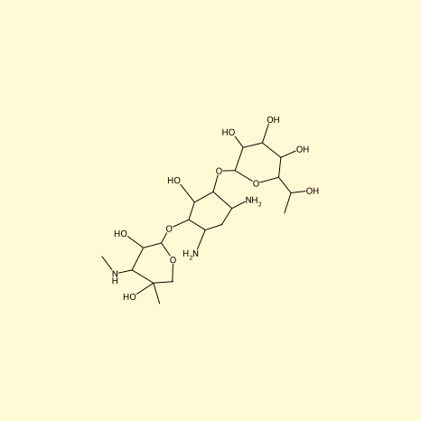 CNC1C(O)C(OC2C(N)CC(N)C(OC3OC(C(C)O)C(O)C(O)C3O)C2O)OCC1(C)O